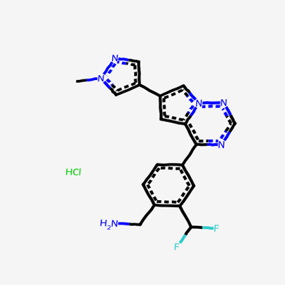 Cl.Cn1cc(-c2cc3c(-c4ccc(CN)c(C(F)F)c4)ncnn3c2)cn1